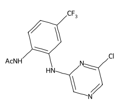 CC(=O)Nc1ccc(C(F)(F)F)cc1Nc1cncc(Cl)n1